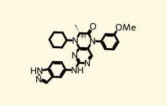 COc1cccc(N2C(=O)[C@@H](C)N(C3CCCCC3)c3nc(Nc4ccc5[nH]ncc5c4)ncc32)c1